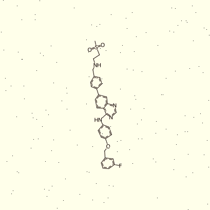 CS(=O)(=O)CCNCc1ccc(-c2ccc3c(Nc4ccc(OCc5cccc(F)c5)cc4)ncnc3c2)cc1